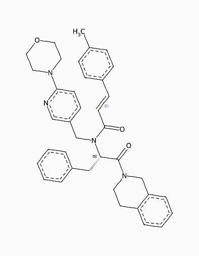 Cc1ccc(/C=C/C(=O)N(Cc2ccc(N3CCOCC3)nc2)[C@@H](Cc2ccccc2)C(=O)N2CCc3ccccc3C2)cc1